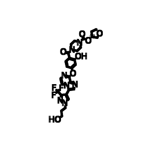 O=C(O[C@H]1CCOC1)N1CCN(C(=O)c2ccc(Oc3nccn4c(-c5cn(CCCO)nc5C(F)(F)F)cnc34)cc2O)CC1